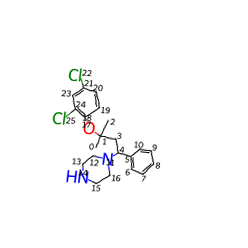 CC(C)(CC(c1ccccc1)N1CCNCC1)Oc1ccc(Cl)cc1Cl